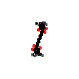 CC1(C)CC(=O)C(C(=O)CCCCCCCCC(=O)C2C(=O)CC(C)(C)CC2=O)C(=O)C1